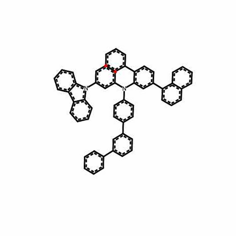 c1ccc(-c2cccc(-c3ccc(N(c4cccc(-n5c6ccccc6c6ccccc65)c4)c4cc(-c5cccc6ccccc56)ccc4-c4ccccc4)cc3)c2)cc1